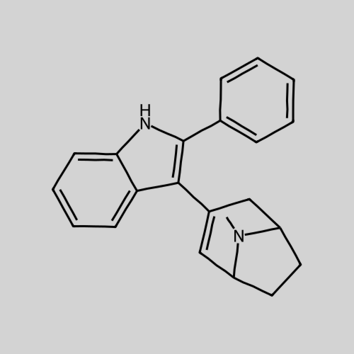 CN1C2C=C(c3c(-c4ccccc4)[nH]c4ccccc34)CC1CC2